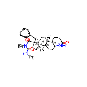 CC(C)NC(=O)N(C(=O)C1(Cc2ccccc2)CC[C@H]2[C@@H]3CCC4NC(=O)CC[C@]4(C)[C@@H]3CC[C@@]21C)C(C)C